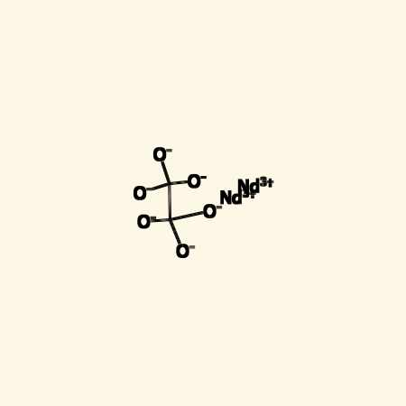 [Nd+3].[Nd+3].[O-]C([O-])([O-])C([O-])([O-])[O-]